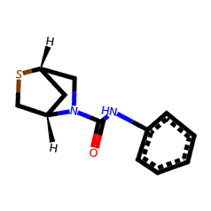 O=C(Nc1ccccc1)N1C[C@@H]2C[C@H]1CS2